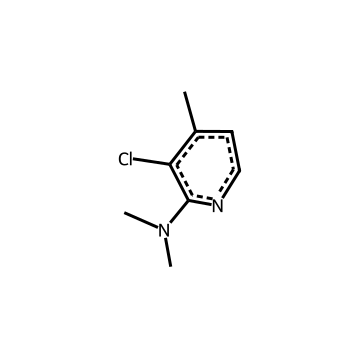 Cc1ccnc(N(C)C)c1Cl